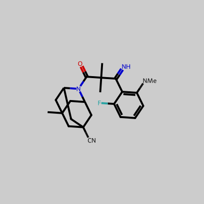 CNc1cccc(F)c1C(=N)C(C)(C)C(=O)N1C2CC3(C)CC1CC(C#N)(C2)C3